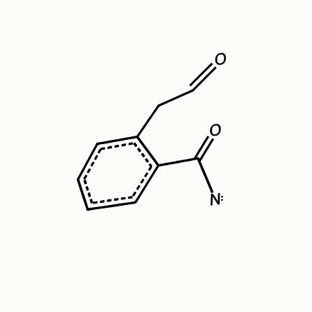 [N]C(=O)c1ccccc1CC=O